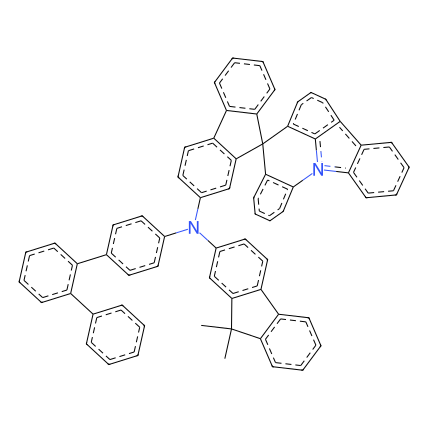 CC1(C)c2ccccc2-c2ccc(N(c3ccc(-c4ccccc4-c4ccccc4)cc3)c3ccc4c(c3)C3(c5ccccc5-4)c4ccccc4-n4c5ccccc5c5cccc3c54)cc21